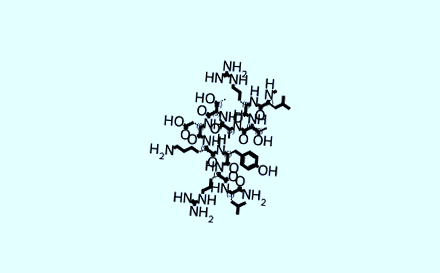 CN[C@@H](CC(C)C)C(=O)N[C@@H](CCCNC(=N)N)C(=O)N[C@H](C(=O)N[C@@H](C)C(=O)N[C@H](C(=O)N[C@@H](CC(=O)O)C(=O)N[C@@H](CCCCN)C(=O)N[C@@H](Cc1ccc(O)cc1)C(=O)N[C@@H](CCCNC(=N)N)C(=O)N[C@@H](CC(C)C)C(N)=O)[C@@H](C)O)[C@@H](C)O